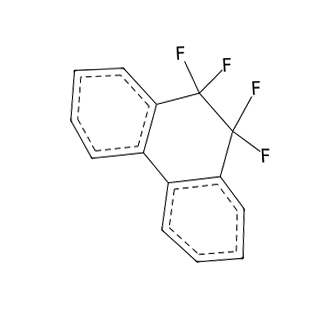 FC1(F)c2ccccc2-c2ccccc2C1(F)F